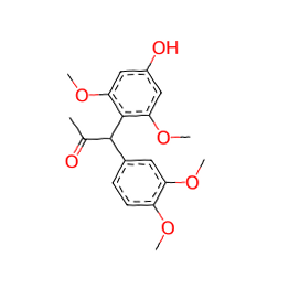 COc1ccc(C(C(C)=O)c2c(OC)cc(O)cc2OC)cc1OC